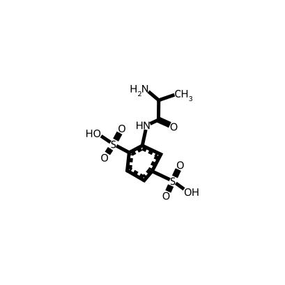 CC(N)C(=O)Nc1cc(S(=O)(=O)O)ccc1S(=O)(=O)O